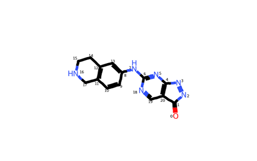 O=C1N=Nc2nc(Nc3ccc4c(c3)CCNC4)ncc21